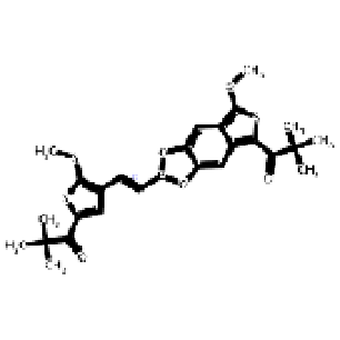 CSc1sc(C(=O)C(C)(C)C)cc1/C=C/B1Oc2cc3c(SC)sc(C(=O)C(C)(C)C)c3cc2O1